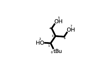 CC(C)(C)C(O)C(CO)CO